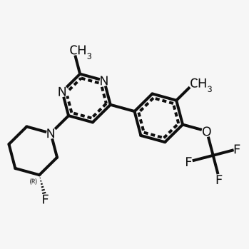 Cc1nc(-c2ccc(OC(F)(F)F)c(C)c2)cc(N2CCC[C@@H](F)C2)n1